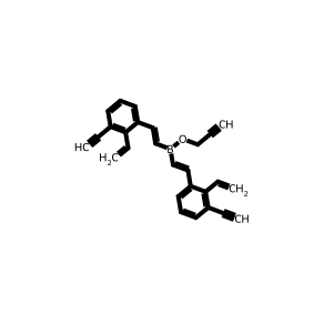 C#CCOB(C=Cc1cccc(C#C)c1C=C)C=Cc1cccc(C#C)c1C=C